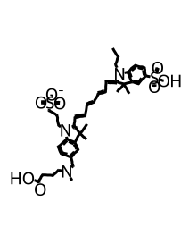 CCCN1/C(=C/C=C/C=C/C=C/C2=[N+](CCCS(=O)(=O)[O-])c3ccc(CN(C)CCCC(=O)O)cc3C2(C)C)C(C)(C)c2cc(S(=O)(=O)O)ccc21